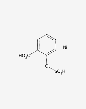 O=C(O)c1ccccc1OS(=O)(=O)O.[Ni]